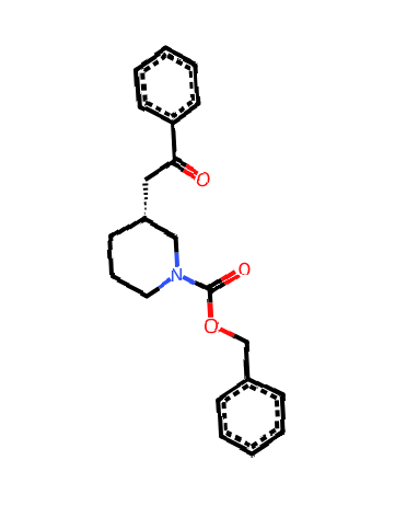 O=C(C[C@H]1CCCN(C(=O)OCc2ccccc2)C1)c1ccccc1